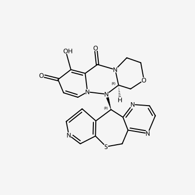 O=C1c2c(O)c(=O)ccn2N([C@@H]2c3ccncc3SCc3nccnc32)[C@@H]2COCCN12